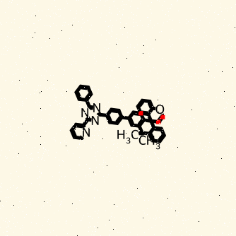 CC1(C)c2ccccc2C2(c3ccccc3Oc3ccccc32)c2ccc(-c3ccc(-c4nc(-c5ccccc5)nc(-c5ccccn5)n4)cc3)cc21